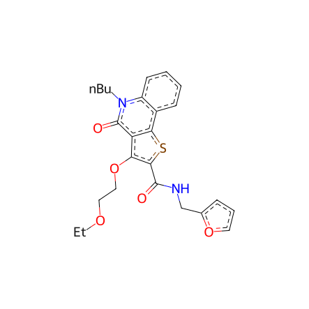 CCCCn1c(=O)c2c(OCCOCC)c(C(=O)NCc3ccco3)sc2c2ccccc21